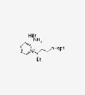 Br.CCCCCCCCCC(CC)[n+]1ccccc1.N